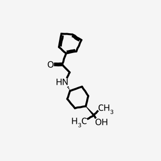 CC(C)(O)[C@H]1CC[C@H](NCC(=O)c2ccccc2)CC1